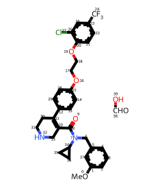 COc1cccc(CN(C(=O)C2=C(c3ccc(OCCOc4ccc(C(F)(F)F)cc4Cl)cc3)CCNC2)C2CC2)c1.O=CO